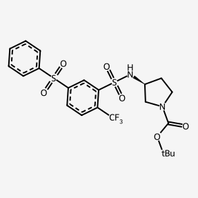 CC(C)(C)OC(=O)N1CC[C@H](NS(=O)(=O)c2cc(S(=O)(=O)c3ccccc3)ccc2C(F)(F)F)C1